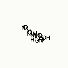 CC(C(=O)Nc1ccc(-c2cccnc2)cn1)N1CCCC2=C1C(=O)N(C)C2(C)O